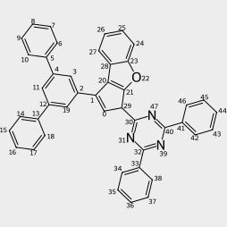 C1=C(c2cc(-c3ccccc3)cc(-c3ccccc3)c2)c2c(oc3ccccc23)C1c1nc(-c2ccccc2)nc(-c2ccccc2)n1